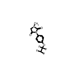 CN1CC(=O)N(c2ccc(OC(F)(F)C(F)F)cc2)C1=O